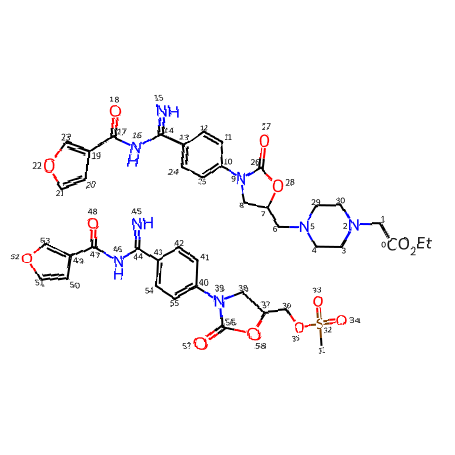 CCOC(=O)CN1CCN(CC2CN(c3ccc(C(=N)NC(=O)c4ccoc4)cc3)C(=O)O2)CC1.CS(=O)(=O)OCC1CN(c2ccc(C(=N)NC(=O)c3ccoc3)cc2)C(=O)O1